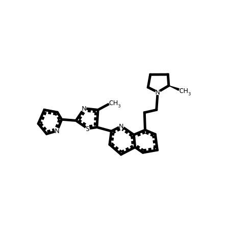 Cc1nc(-c2ccccn2)sc1-c1ccc2cccc(CCN3CCC[C@H]3C)c2n1